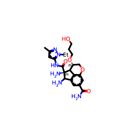 CCn1nc(C)cc1NC(=O)[C@@]1(N)C(N)c2cc(C(N)=O)cc3c2C1[C@H](OCCCO)CO3